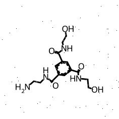 NCCNC(=O)c1cc(C(=O)NCCO)cc(C(=O)NCCO)c1